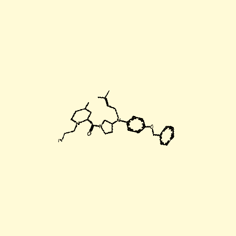 CC(C)=CCN(c1ccc(OCc2ccccc2)cc1)C1CCN(C(=O)C2CC(C)CCN2CCC(C)C)C1